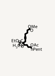 CCCCCC(CCCC(CC#CCCCC(=O)OC)(C(=O)OCC)S(C)(=O)=O)OC(C)=O